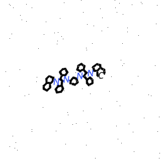 c1cc(-n2c3ccccc3c3c2c2ccccc2n3-c2cccc3ccccc23)cc(-n2c3ccccc3c3c2c2ccccc2n3-c2cccc3ccccc23)c1